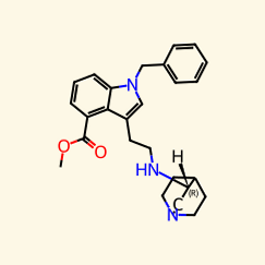 COC(=O)c1cccc2c1c(CCN[C@H]1CN3CCC1CC3)cn2Cc1ccccc1